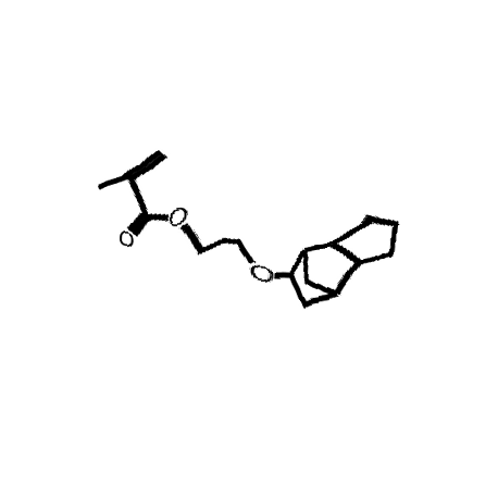 C=C(C)C(=O)OCCOC1CC2CC1C1CCCC21